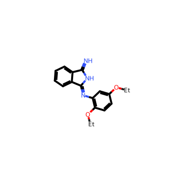 CCOc1ccc(OCC)c(N=C2NC(=N)c3ccccc32)c1